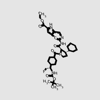 CCOC(=O)c1cc2cc(NC(=O)[C@H]3[C@H](C4CCCCC4)CCN3C(=O)C3CCC([C@@H](CF)NC(=O)OC(C)(C)C)CC3)ncc2[nH]1